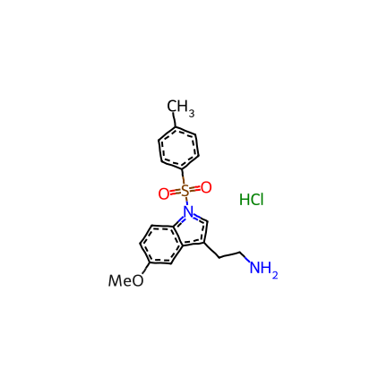 COc1ccc2c(c1)c(CCN)cn2S(=O)(=O)c1ccc(C)cc1.Cl